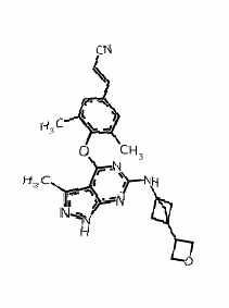 Cc1cc(/C=C/C#N)cc(C)c1Oc1nc(NC23CC(C4COC4)(C2)C3)nc2[nH]nc(C)c12